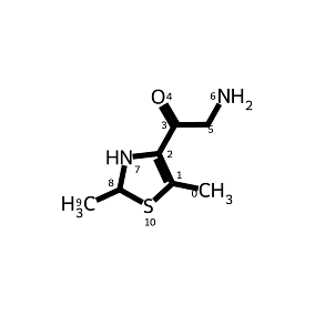 CC1=C(C(=O)CN)NC(C)S1